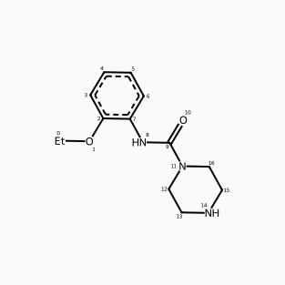 CCOc1ccccc1NC(=O)N1CCNCC1